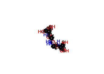 Cc1ccc(NC(=O)Nc2ccc(C)c(S(=O)(=O)Nc3ccc(S(=O)(=O)O)c4ccc(O)cc34)c2)cc1S(=O)(=O)Nc1ccc(S(=O)(=O)O)c2ccc(O)cc12